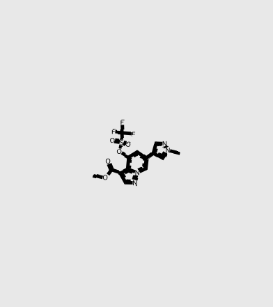 COC(=O)c1cnn2cc(-c3cnn(C)c3)cc(OS(=O)(=O)C(F)(F)F)c12